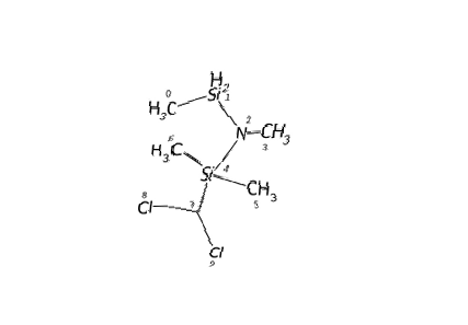 C[SiH2]N(C)[Si](C)(C)C(Cl)Cl